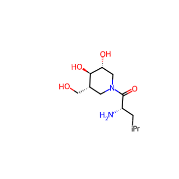 CC(C)C[C@H](N)C(=O)N1C[C@H](CO)[C@@H](O)[C@H](O)C1